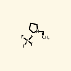 C=CN1CCCC1.F[B-](F)(F)F